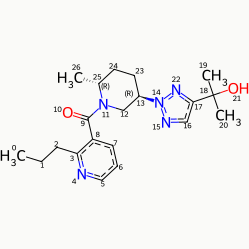 CCCc1ncccc1C(=O)N1C[C@H](n2ncc(C(C)(C)O)n2)CC[C@H]1C